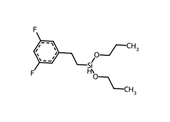 CCCO[SiH](CCc1cc(F)cc(F)c1)OCCC